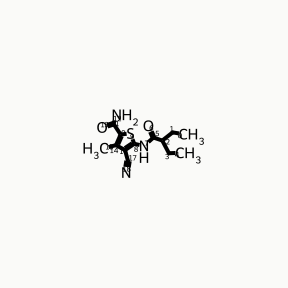 CCC(CC)C(=O)Nc1sc(C(N)=O)c(C)c1C#N